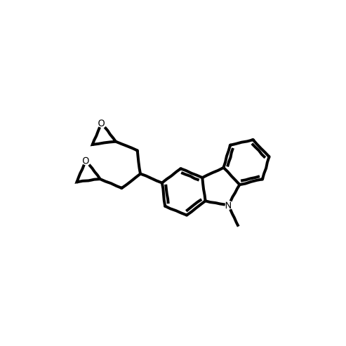 Cn1c2ccccc2c2cc(C(CC3CO3)CC3CO3)ccc21